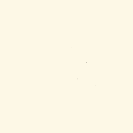 C#CCOCC(COCC#C)COP(=O)(OCl)OCl